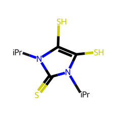 CC(C)n1c(S)c(S)n(C(C)C)c1=S